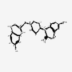 O=c1[nH]c2cc(F)ccc2n1C1CCN(CC2COc3ccc(F)cc3O2)CC1